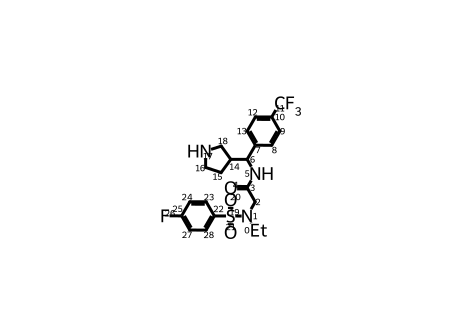 CCN(CC(=O)NC(c1ccc(C(F)(F)F)cc1)C1CCNC1)S(=O)(=O)c1ccc(F)cc1